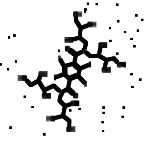 O=C(c1c(I)c(I)c(C(=O)N(CC(O)C(O)CO)CC(O)C(O)CO)c(I)c1I)N(CC(O)C(O)CO)CC(O)C(O)CO